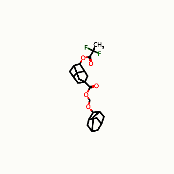 CC(F)(F)C(=O)OC1C2CC3CC1CC(C(=O)OCOC1C4CC5CC(C4)CC1C5)(C3)C2